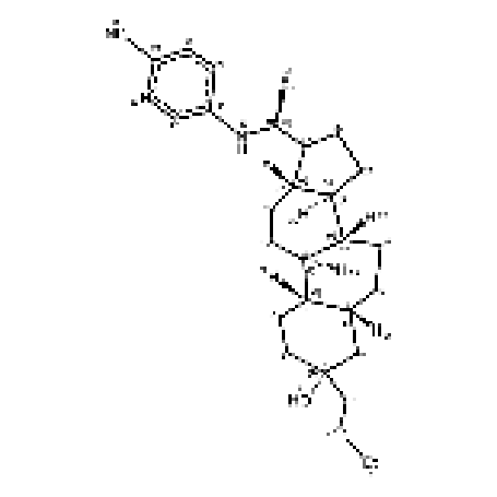 CCOC[C@@]1(O)CC[C@H]2[C@H](CC[C@@H]3[C@@H]2CC[C@]2(C)C([C@H](CC)Nc4ccc(C#N)nc4)CC[C@@H]32)C1